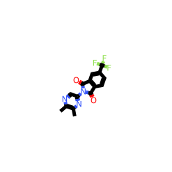 Cc1ncc(N2C(=O)c3ccc(C(F)(F)F)cc3C2=O)nc1C